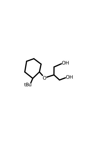 CC(C)(C)C1CCCCC1OC(CO)CO